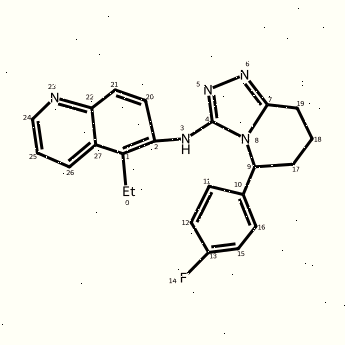 CCc1c(Nc2nnc3n2C(c2ccc(F)cc2)CCC3)ccc2ncccc12